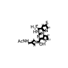 CC(=O)NCC1CN(C(O)c2nc(NC(C)c3cncc(F)c3)nc3ccsc23)C1